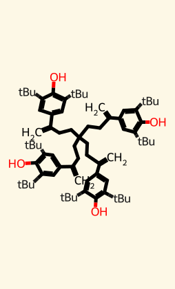 C=C(CCC(CCC(=C)c1cc(C(C)(C)C)c(O)c(C(C)(C)C)c1)(CCC(=C)c1cc(C(C)(C)C)c(O)c(C(C)(C)C)c1)CCC(=C)c1cc(C(C)(C)C)c(O)c(C(C)(C)C)c1)c1cc(C(C)(C)C)c(O)c(C(C)(C)C)c1